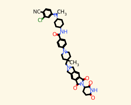 CN(c1ccc(C#N)c(Cl)c1)[C@H]1CC[C@H](NC(=O)c2ccc(N3CCC(C)(CN4Cc5cc6c(cc5C4)C(=O)N(C4CCC(=O)NC4=O)C6=O)CC3)cc2)CC1